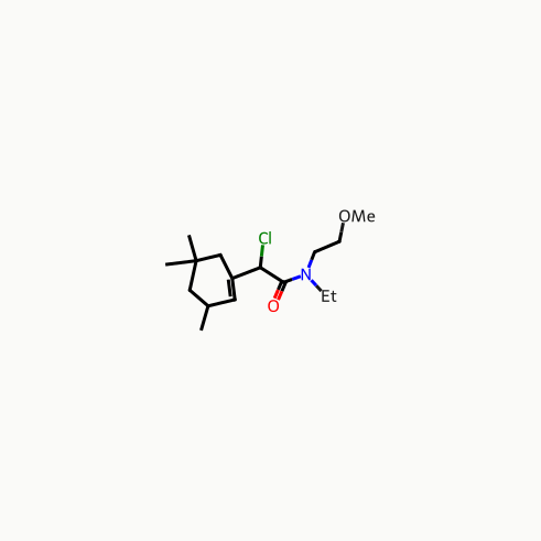 CCN(CCOC)C(=O)C(Cl)C1=CC(C)CC(C)(C)C1